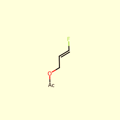 CC(=O)OCC=CF